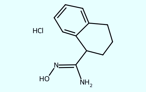 Cl.NC(=NO)C1CCCc2ccccc21